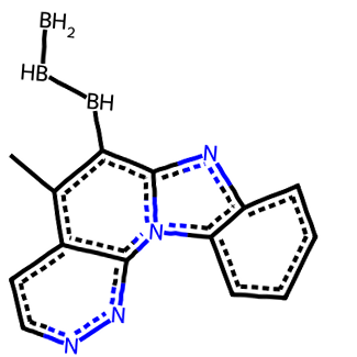 BBBc1c(C)c2ccnnc2n2c1nc1ccccc12